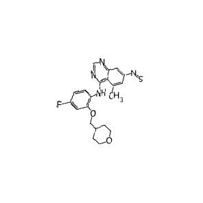 Cc1cc(N=S)cc2ncnc(Nc3ccc(F)cc3OCC3CCOCC3)c12